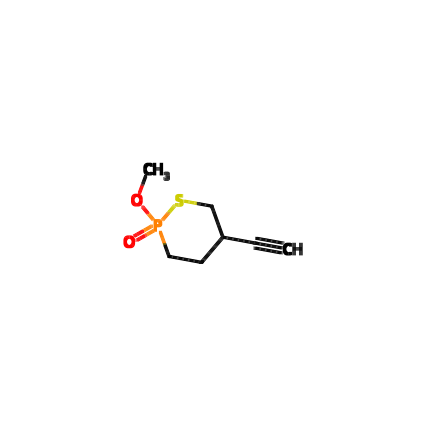 C#CC1CCP(=O)(OC)SC1